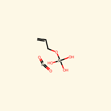 C=CCO[Si](O)(O)O.O=[Si]=O